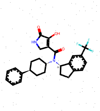 O=C1NCC(C(=O)N([C@H]2CC[C@H](c3ccccc3)CC2)[C@H]2CCc3ccc(C(F)(F)F)cc32)=C1O